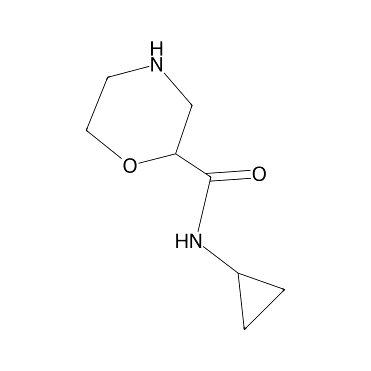 O=C(NC1CC1)C1CNCCO1